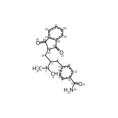 CN(C)C(Cc1ccc(C(N)=O)cc1)CN1C(=O)c2ccccc2C1=O